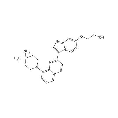 CC1(N)CCN(c2cccc3ccc(-c4cnc5cc(OCCO)ccn45)nc23)CC1